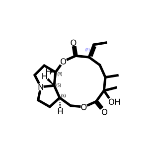 C/C=C1\CC(C)C(C)(O)C(=O)OC[C@H]2CCN3CC[C@@H](OC1=O)[C@H]23